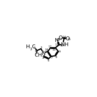 CC(C)Cn1ccc2ccc(-c3noc(=O)[nH]3)cc21